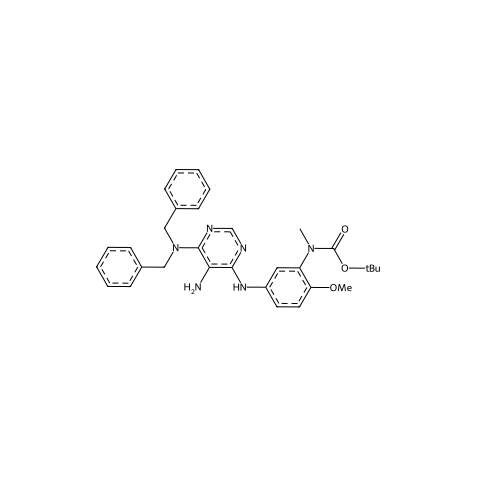 COc1ccc(Nc2ncnc(N(Cc3ccccc3)Cc3ccccc3)c2N)cc1N(C)C(=O)OC(C)(C)C